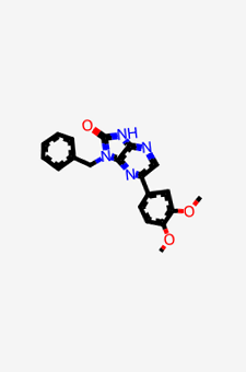 COc1ccc(-c2cnc3[nH]c(=O)n(Cc4ccccc4)c3n2)cc1OC